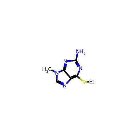 CCSc1nc(N)nc2c1ncn2C